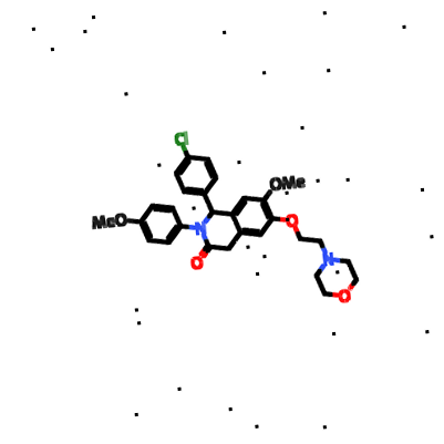 COc1ccc(N2C(=O)Cc3cc(OCCN4CCOCC4)c(OC)cc3C2c2ccc(Cl)cc2)cc1